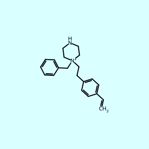 C=Cc1ccc(CC[N+]2(Cc3ccccc3)CCNCC2)cc1